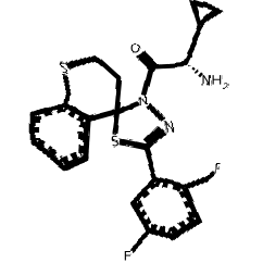 N[C@H](C(=O)N1N=C(c2cc(F)ccc2F)SC12CCSc1ccccc12)C1CC1